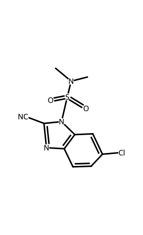 CN(C)S(=O)(=O)n1c(C#N)nc2ccc(Cl)cc21